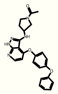 CC(=O)N1CCC(Nc2n[nH]c3nccc(Oc4ccc(Oc5ccccc5)cc4)c23)C1